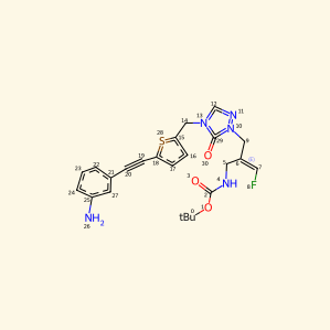 CC(C)(C)OC(=O)NC/C(=C\F)Cn1ncn(Cc2ccc(C#Cc3cccc(N)c3)s2)c1=O